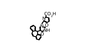 O=C(O)c1cccc(Cn2cc(C3c4ccccc4C=Cc4ccccc43)c(=O)[nH]c2=O)n1